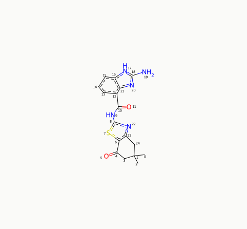 CC1(C)CC(=O)c2sc(NC(=O)c3cccc4[nH]c(N)nc34)nc2C1